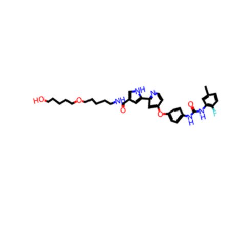 Cc1ccc(F)c(NC(=O)Nc2ccc(Oc3ccnc(-c4cc(C(=O)NCCCCCOCCCCCO)c[nH]4)c3)cc2)c1